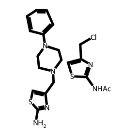 CC(=O)Nc1nc(CCl)cs1.Nc1nc(CN2CCN(c3ccccc3)CC2)cs1